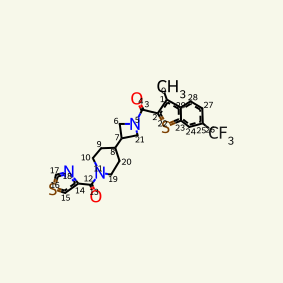 Cc1c(C(=O)N2CC(C3CCN(C(=O)c4cscn4)CC3)C2)sc2cc(C(F)(F)F)ccc12